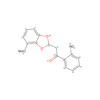 COc1cccc2c1OC(CC(=O)c1ccccc1[N+](=O)[O-])O2